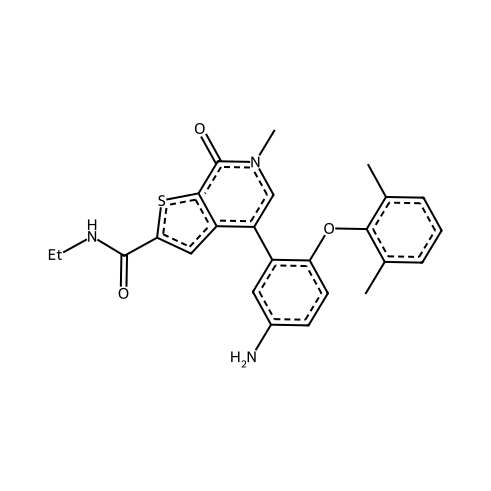 CCNC(=O)c1cc2c(-c3cc(N)ccc3Oc3c(C)cccc3C)cn(C)c(=O)c2s1